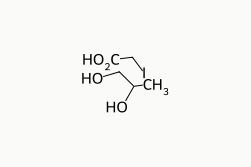 CC(O)CO.O=C(O)CI